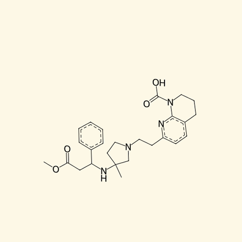 COC(=O)CC(NC1(C)CCN(CCc2ccc3c(n2)N(C(=O)O)CCC3)C1)c1ccccc1